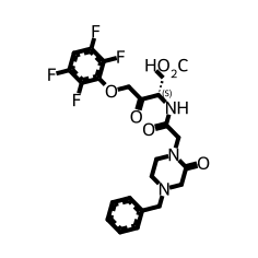 O=C(O)C[C@H](NC(=O)CN1CCN(Cc2ccccc2)CC1=O)C(=O)COc1c(F)c(F)cc(F)c1F